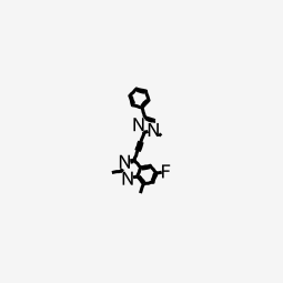 Cc1nc(C#Cc2nc(-c3ccccc3)cn2C)c2cc(F)cc(C)c2n1